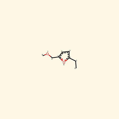 CCc1ccc(COC)o1